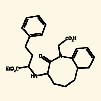 CCOC(=O)C(CCc1ccccc1)NC1CCCC2CC=CC=C2N(CC(=O)O)C1=O